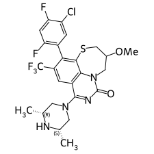 COC1CSc2c(-c3cc(Cl)c(F)cc3F)c(C(F)(F)F)cc3c(N4C[C@@H](C)N[C@@H](C)C4)nc(=O)n(c23)C1